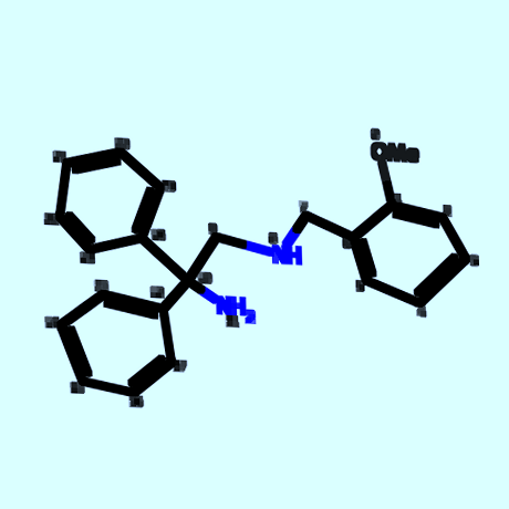 COc1ccccc1CNCC(N)(c1ccccc1)c1ccccc1